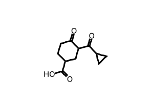 O=C(O)C1CCC(=O)C(C(=O)C2CC2)C1